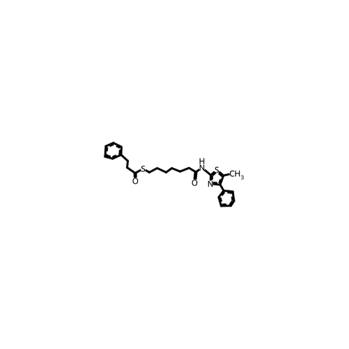 Cc1sc(NC(=O)CCCCCCSC(=O)CCc2ccccc2)nc1-c1ccccc1